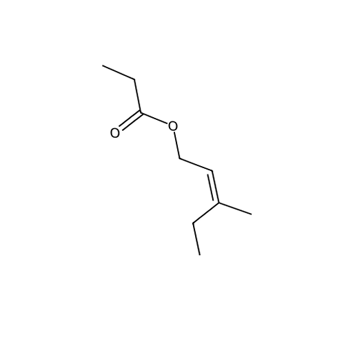 CCC(=O)OCC=C(C)CC